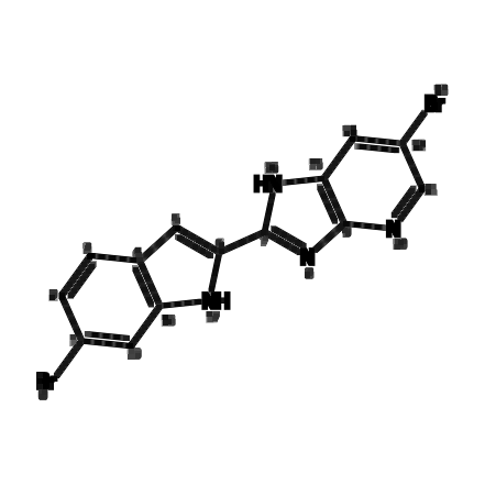 Brc1ccc2cc(-c3nc4ncc(Br)cc4[nH]3)[nH]c2c1